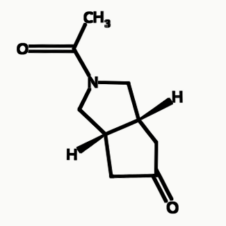 CC(=O)N1C[C@H]2CC(=O)C[C@H]2C1